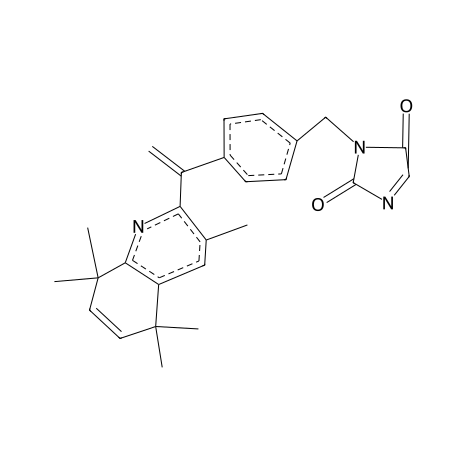 C=C(c1ccc(CN2C(=O)C=NC2=O)cc1)c1nc2c(cc1C)C(C)(C)C=CC2(C)C